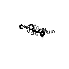 Cc1c(C=C2C(=O)Nc3c(NC=O)cc(F)cc32)[nH]c2c1C(=O)N(CCN1CCCC1)CCC2